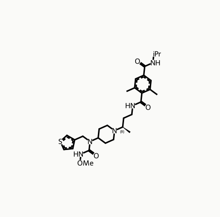 CONC(=O)N(Cc1ccsc1)C1CCN([C@H](C)CCNC(=O)c2c(C)cc(C(=O)NC(C)C)cc2C)CC1